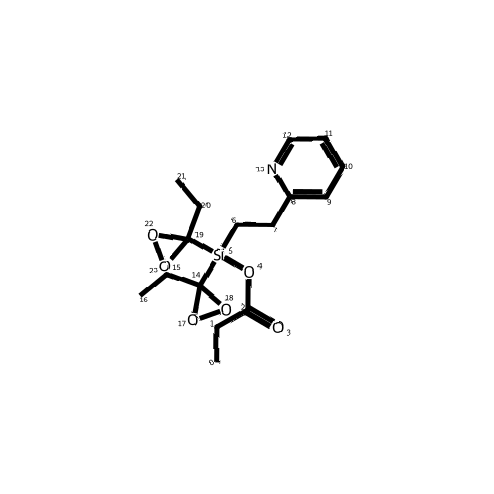 CCC(=O)O[Si](CCc1ccccn1)(C1(CC)OO1)C1(CC)OO1